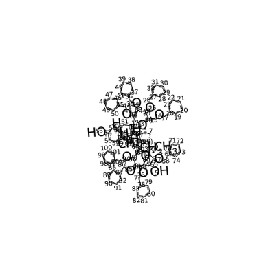 C[C@H](CCCO)[C@H]1CC[C@H]2[C@@H]3[C@@H](C4O[C@H](COCc5ccccc5)[C@@H](OCc5ccccc5)[C@H](OCc5ccccc5)[C@H]4OCc4ccccc4)C[C@@H]4C[C@H](O)CC[C@]4(C)[C@H]3C[C@@H]([C@@H]3O[C@H](COCc4ccccc4)[C@@H](OCc4ccccc4)[C@H](OCc4ccccc4)[C@H]3OCc3ccccc3)[C@]12C